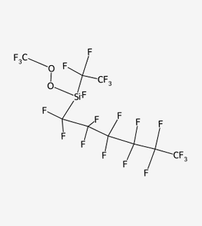 FC(F)(F)OO[Si](F)(C(F)(F)C(F)(F)F)C(F)(F)C(F)(F)C(F)(F)C(F)(F)C(F)(F)C(F)(F)F